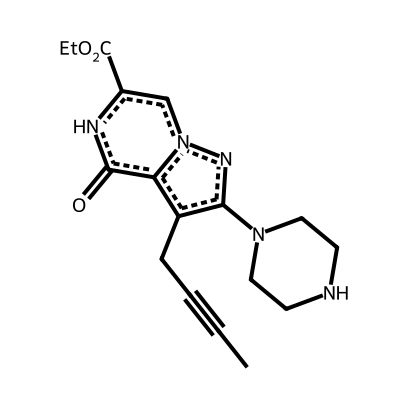 CC#CCc1c(N2CCNCC2)nn2cc(C(=O)OCC)[nH]c(=O)c12